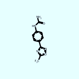 NC(=O)Nc1ccc(-c2noc(C(F)(F)F)n2)cc1